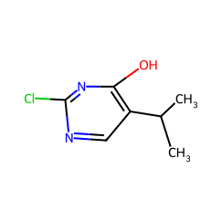 CC(C)c1cnc(Cl)nc1O